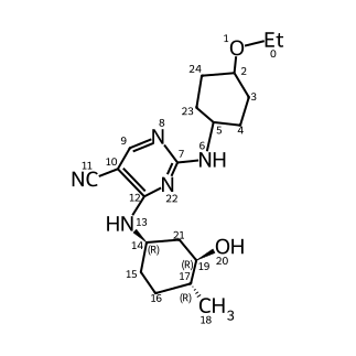 CCOC1CCC(Nc2ncc(C#N)c(N[C@@H]3CC[C@@H](C)[C@H](O)C3)n2)CC1